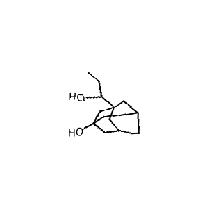 CCC(O)C12CC3CC(CC(O)(C3)C1)C2